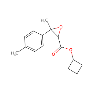 Cc1ccc(C2(C)OC2C(=O)OC2CCC2)cc1